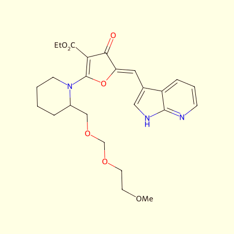 CCOC(=O)C1=C(N2CCCCC2COCOCCOC)O/C(=C\c2c[nH]c3ncccc23)C1=O